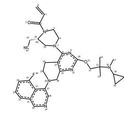 C=CC(=O)N1CCN(c2nc(OCC(C)(C)N(C)C3CC3)nc3c2CCN(c2cncc4cccc(F)c24)C3)C[C@@H]1CC#N